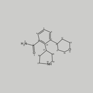 NC(=O)c1cccc(C2CCOCC2)c1C1CCNCC1